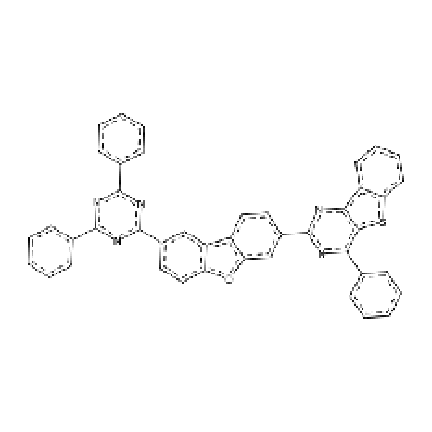 c1ccc(-c2nc(-c3ccccc3)nc(-c3ccc4oc5cc(-c6nc(-c7ccccc7)c7sc8ccccc8c7n6)ccc5c4c3)n2)cc1